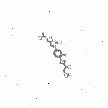 CC(=O)NCC1CN(c2ccc(N3CC(C(=O)CO)C3)c(F)c2)C(=O)O1